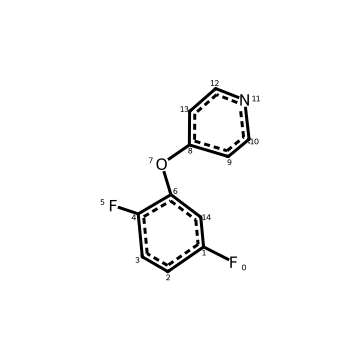 Fc1ccc(F)c(Oc2c[c]ncc2)c1